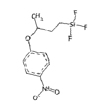 CC(CC[Si](F)(F)F)Oc1ccc([N+](=O)[O-])cc1